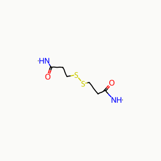 [NH]C(=O)CCSSCCC([NH])=O